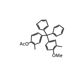 COc1ccc(C(c2ccccc2)(c2ccccc2)c2ccc(OC(C)=O)c(C)c2)cc1C